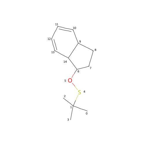 CC(C)(C)SOC1CCC2C=CC=CC21